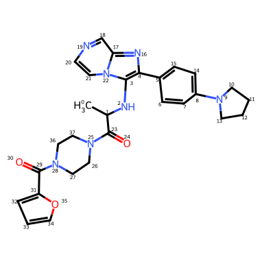 CC(Nc1c(-c2ccc(N3CCCC3)cc2)nc2cnccn12)C(=O)N1CCN(C(=O)c2ccco2)CC1